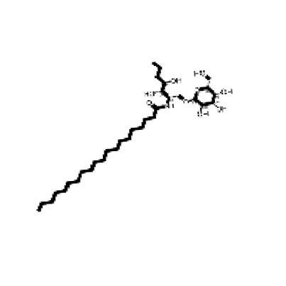 CCCCCCCCCCCCCCCCCCCC(=O)N[C@@H](CO[C@H]1O[C@H](CO)[C@H](O)[C@H](O)[C@H]1O)[C@H](O)[C@H](O)CCC